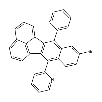 Brc1ccc2c(-c3ccccn3)c3c(c(-c4ccccn4)c2c1)-c1cccc2cccc-3c12